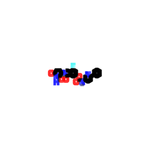 CN(C(=O)Oc1cc(F)c2c(c1)C(=O)N(C1CCC(=O)NC1=O)C2)c1ccc(-c2ccccc2)nc1